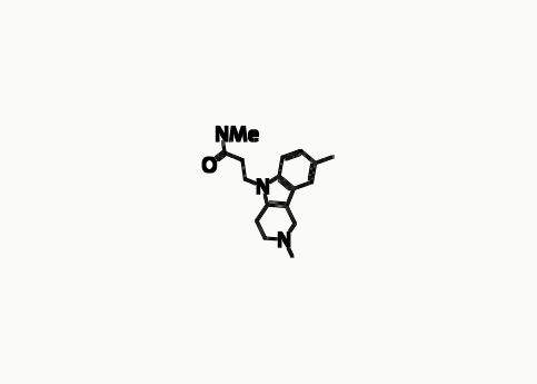 CNC(=O)CCn1c2c(c3cc(C)ccc31)CN(C)CC2